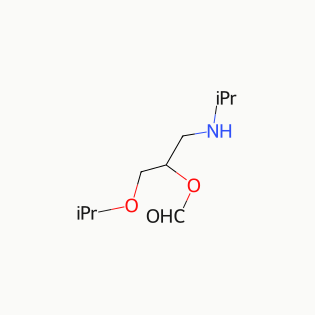 CC(C)NCC(COC(C)C)OC=O